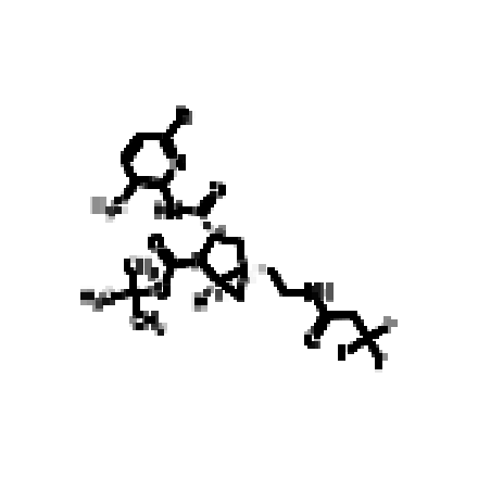 Cc1ccc(Br)nc1NC(=O)[C@@H]1C[C@@]2(CCNC(=O)CC(F)(F)F)C[C@H]2N1C(=O)OC(C)(C)C